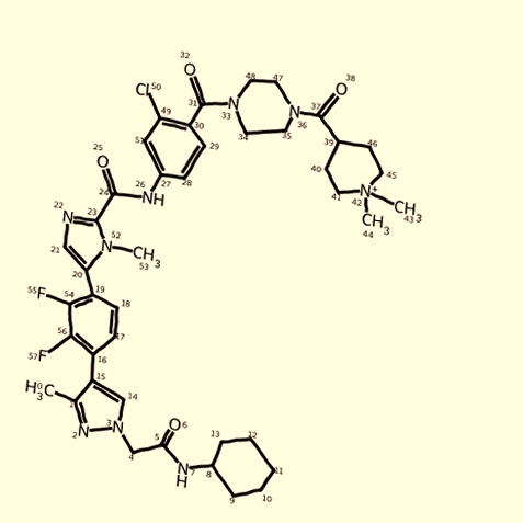 Cc1nn(CC(=O)NC2CCCCC2)cc1-c1ccc(-c2cnc(C(=O)Nc3ccc(C(=O)N4CCN(C(=O)C5CC[N+](C)(C)CC5)CC4)c(Cl)c3)n2C)c(F)c1F